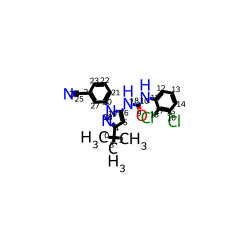 CC(C)(C)c1cc(NC(=O)Nc2cccc(Cl)c2Cl)n(-c2cccc(C#N)c2)n1